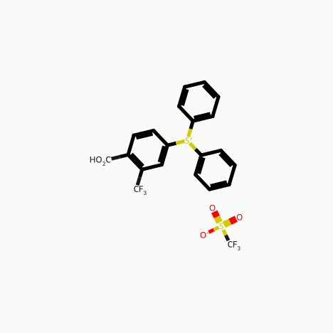 O=C(O)c1ccc([S+](c2ccccc2)c2ccccc2)cc1C(F)(F)F.O=S(=O)([O-])C(F)(F)F